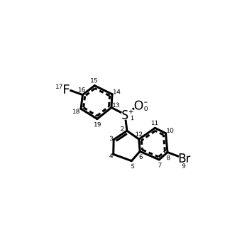 [O-][S+](C1=CCCc2cc(Br)ccc21)c1ccc(F)cc1